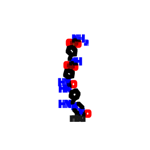 CCCCC(=O)N1CCN(C(=N)c2cccc(NC(=O)Nc3ccc(S(=O)(=O)NCc4ccc(S(N)(=O)=O)cc4)cc3)c2)CC1